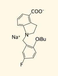 CC(C)COc1ccc(F)cc1CN1CCc2c(C(=O)[O-])cccc21.[Na+]